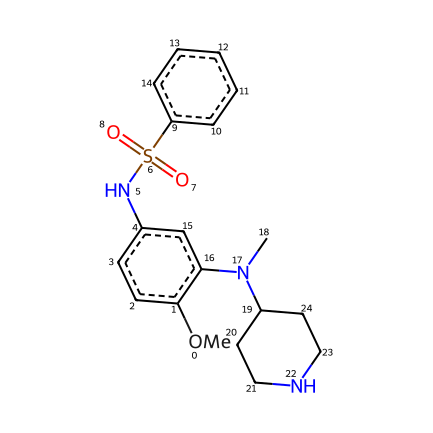 COc1ccc(NS(=O)(=O)c2ccccc2)cc1N(C)C1CCNCC1